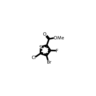 COC(=O)c1sc(Cl)c(Br)c1F